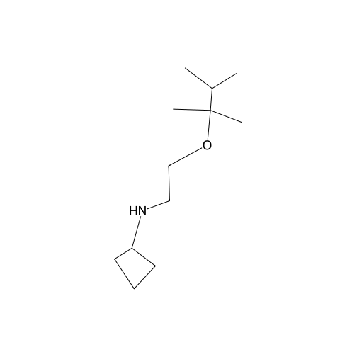 CC(C)C(C)(C)OCCNC1CCC1